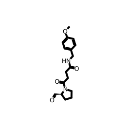 COc1ccc(CNC(=O)CCC(=O)N2CCC[C@H]2C=O)cc1